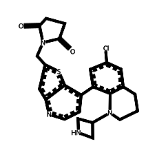 O=C1CCC(=O)N1Cc1cc2nccc(-c3cc(Cl)cc4c3N(C3CNC3)CCC4)c2s1